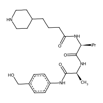 CC(C)[C@H](NC(=O)CCCC1CCNCC1)C(=O)N[C@@H](C)C(=O)Nc1ccc(CO)cc1